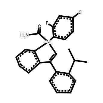 CC(C)c1ccccc1C1=C[N+](C(N)=O)(c2ccc(Cl)cc2F)c2ccccc21